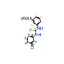 COc1cccc(NC(=S)Nc2cccc(Cl)c2)c1